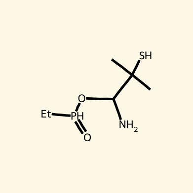 CC[PH](=O)OC(N)C(C)(C)S